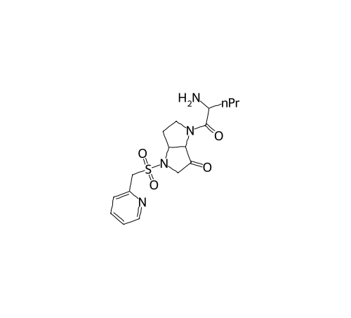 CCCC(N)C(=O)N1CCC2C1C(=O)CN2S(=O)(=O)Cc1ccccn1